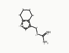 N=C(N)SCc1csc2c1CCCC2